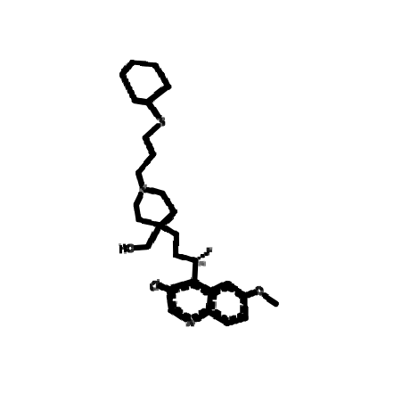 COc1ccc2ncc(Cl)c([C@@H](F)CCC3(CO)CCN(CCCSC4CCCCC4)CC3)c2c1